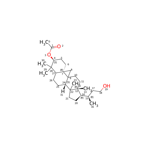 CC(=O)O[C@H]1CC[C@]23CC24CC[C@]2(C)[C@@H]([C@H](C)CCO)CCC2(C)[C@@H]4CCC3C1(C)C